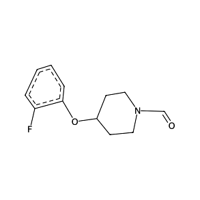 O=CN1CCC(Oc2ccccc2F)CC1